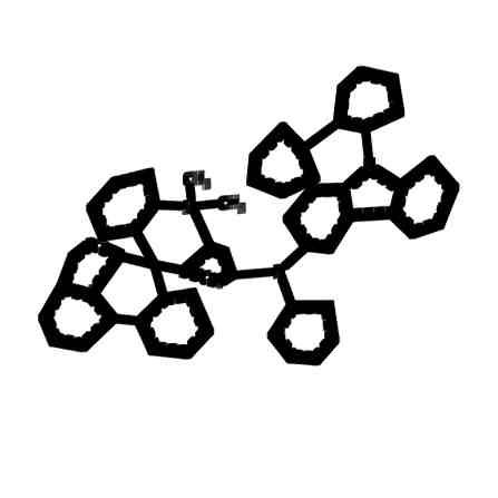 C[Si]1(C)c2ccccc2C2(c3ccccc3-c3cccc4cccc2c34)c2ccc(N(c3ccccc3)c3ccc4c(c3)c3ccccc3n4-c3ccccc3-c3ccccc3)cc21